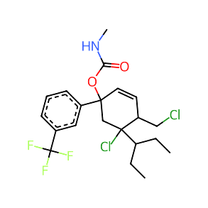 CCC(CC)C1(Cl)CC(OC(=O)NC)(c2cccc(C(F)(F)F)c2)C=CC1CCl